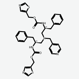 O=C(N[C@@H](Cc1ccccc1)CN(Cc1ccncc1)C[C@H](Cc1ccccc1)NC(=O)OCc1cncs1)OCc1cncs1